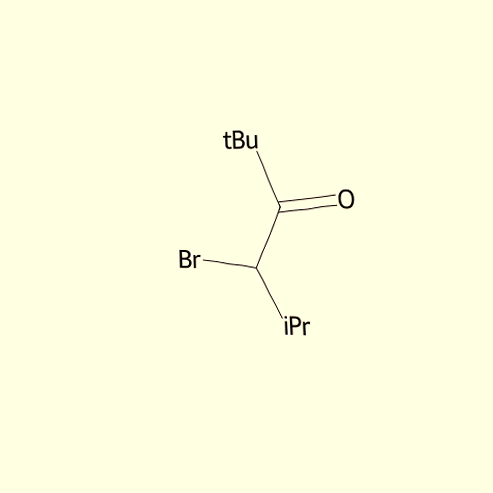 CC(C)C(Br)C(=O)C(C)(C)C